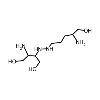 NC(CO)CCCNNC(CO)C(N)CO